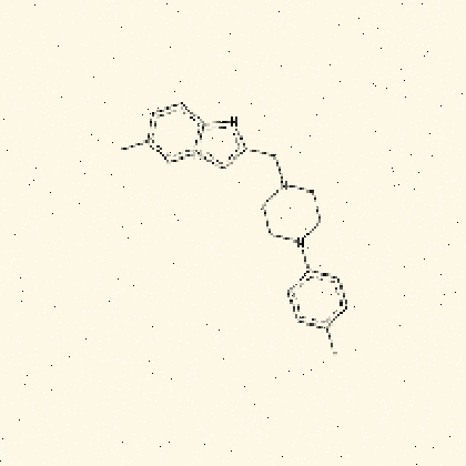 Cc1ccc2nc(CN3CCN(c4ccc(F)cc4)CC3)cn2c1